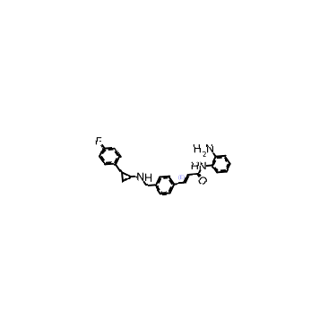 Nc1ccccc1NC(=O)/C=C/c1ccc(CNC2CC2c2ccc(F)cc2)cc1